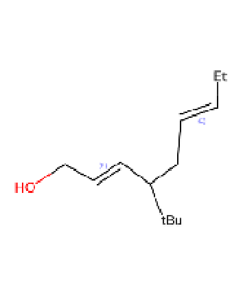 CC/C=C/CC(/C=C/CO)C(C)(C)C